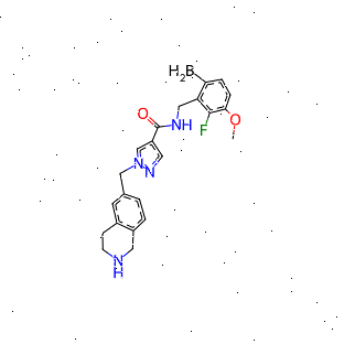 Bc1ccc(OC)c(F)c1CNC(=O)c1cnn(Cc2ccc3c(c2)CCNC3)c1